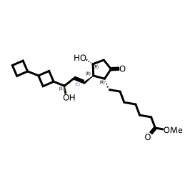 COC(=O)CCCCCC[C@H]1C(=O)C[C@@H](O)[C@@H]1/C=C/[C@@H](O)C1CC(C2CCC2)C1